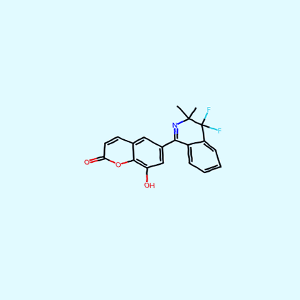 CC1(C)N=C(c2cc(O)c3oc(=O)ccc3c2)c2ccccc2C1(F)F